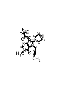 CC#CCN1c2c(ncn(C)c2=O)N(OC(=O)C(F)(F)F)C1N1CCNCC1